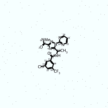 CNC(=O)c1nc(C(C)NC(=O)c2cc(Cl)cc(C(F)(F)F)c2)n(-c2ncccn2)n1